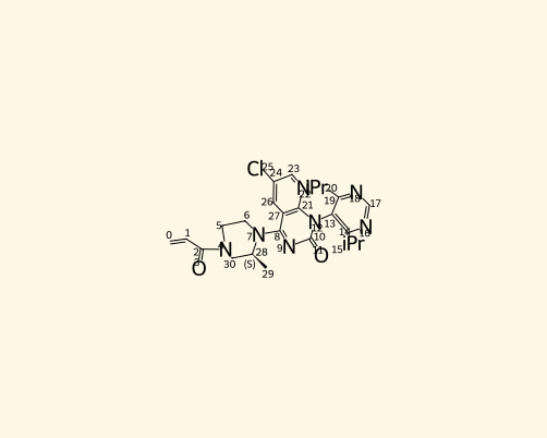 C=CC(=O)N1CCN(c2nc(=O)n(-c3c(C(C)C)ncnc3C(C)C)c3ncc(Cl)cc23)[C@@H](C)C1